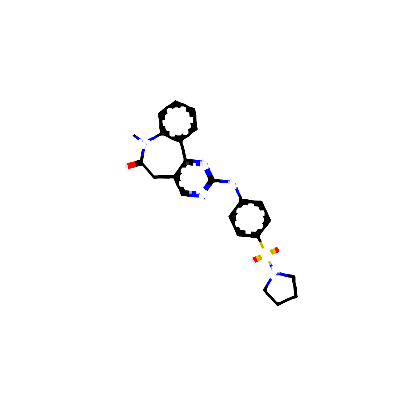 CN1C(=O)Cc2cnc(Nc3ccc(S(=O)(=O)N4CCCC4)cc3)nc2-c2ccccc21